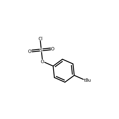 CC(C)(C)c1ccc(OS(=O)(=O)Cl)cc1